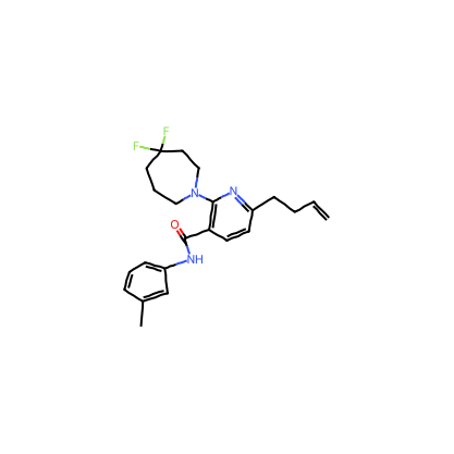 C=CCCc1ccc(C(=O)Nc2cccc(C)c2)c(N2CCCC(F)(F)CC2)n1